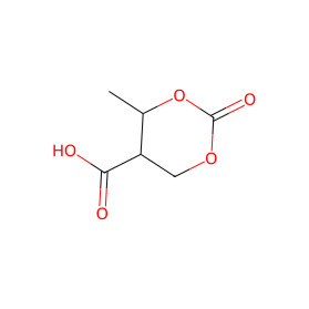 CC1OC(=O)OCC1C(=O)O